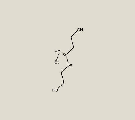 CCO.OCC[Se][Se]CCO